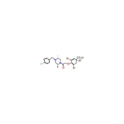 C[C@@H]1CN(C(=O)COC2=C(Br)CC(Br)(C(=O)O)C=C2Br)[C@@H](C)CN1Cc1ccc(F)cc1